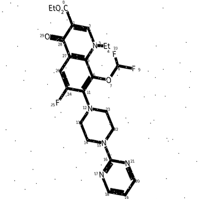 CCOC(=O)c1cn(CC)c2c(OC(F)F)c(N3CCN(c4ncccn4)CC3)c(F)cc2c1=O